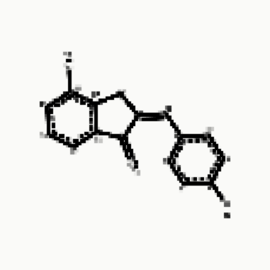 O=C1C(=Cc2ccc(F)cc2)Cc2c(Cl)cccc21